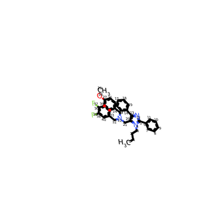 CCCCn1c(-c2ccccc2)nc(-c2ccccc2)c1CN(Cc1ccc(OC)cc1)Cc1ccc(F)c(F)c1